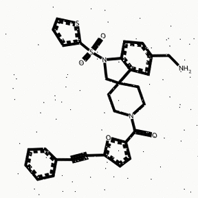 NCc1ccc2c(c1)C1(CCN(C(=O)c3ccc(C#Cc4ccccc4)o3)CC1)CN2S(=O)(=O)c1cccs1